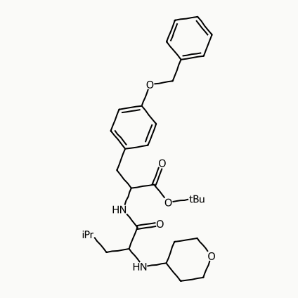 CC(C)CC(NC1CCOCC1)C(=O)NC(Cc1ccc(OCc2ccccc2)cc1)C(=O)OC(C)(C)C